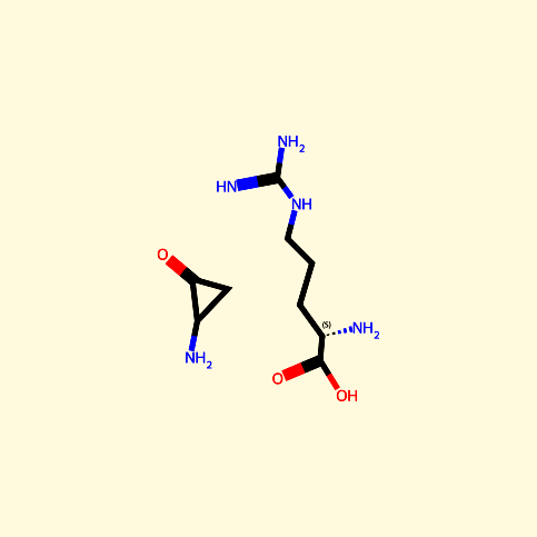 N=C(N)NCCC[C@H](N)C(=O)O.NC1CC1=O